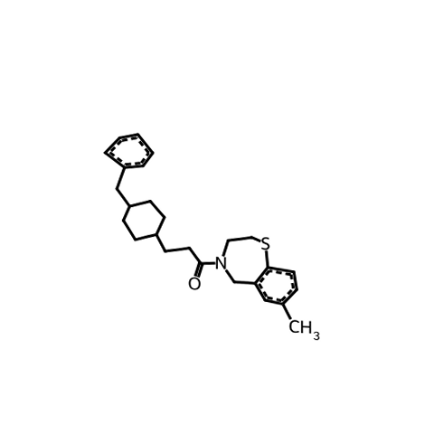 Cc1ccc2c(c1)CN(C(=O)CCC1CCC(Cc3ccccc3)CC1)CCS2